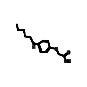 CCCCCNc1ccc(OCC(=O)O)cc1